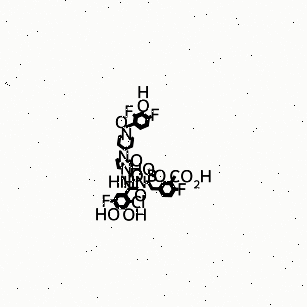 O=C(O)c1c(F)ccc2c1OB(O)C(NC(=O)C(NC(=O)N1CCN(C3CCN(C(=O)c4ccc(F)c(O)c4F)CC3)C1=O)c1cc(F)c(O)c(O)c1Cl)C2